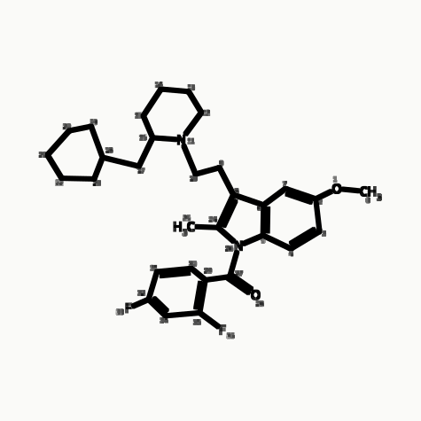 COc1ccc2c(c1)c(CCN1CCCCC1CC1CCCCC1)c(C)n2C(=O)c1ccc(F)cc1F